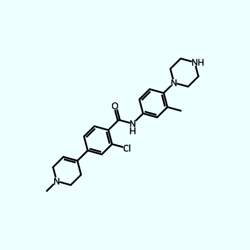 Cc1cc(NC(=O)c2ccc(C3=CCN(C)CC3)cc2Cl)ccc1N1CCNCC1